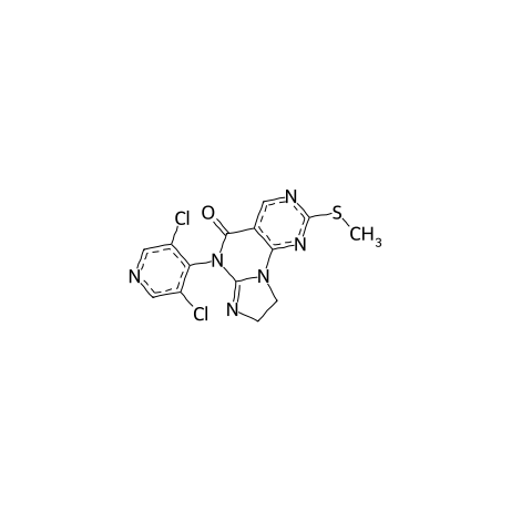 CSc1ncc2c(n1)N1CCN=C1N(c1c(Cl)cncc1Cl)C2=O